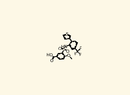 COc1ccc(C(=O)O)cc1S(=O)(=O)Nc1cc(C(F)(F)F)ccc1-c1ccsc1